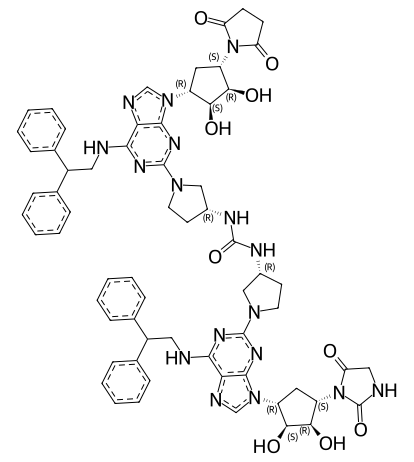 O=C(N[C@@H]1CCN(c2nc(NCC(c3ccccc3)c3ccccc3)c3ncn([C@@H]4C[C@H](N5C(=O)CCC5=O)[C@@H](O)[C@H]4O)c3n2)C1)N[C@@H]1CCN(c2nc(NCC(c3ccccc3)c3ccccc3)c3ncn([C@@H]4C[C@H](N5C(=O)CNC5=O)[C@@H](O)[C@H]4O)c3n2)C1